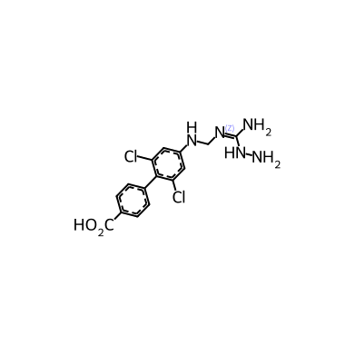 NN/C(N)=N\CNc1cc(Cl)c(-c2ccc(C(=O)O)cc2)c(Cl)c1